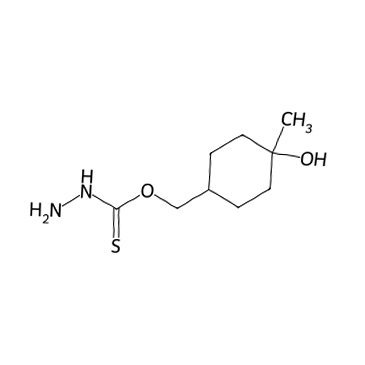 CC1(O)CCC(COC(=S)NN)CC1